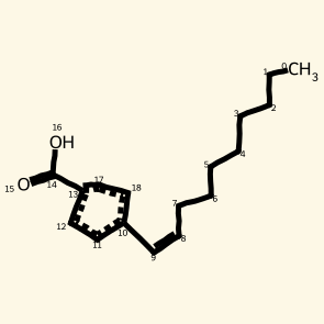 CCCCCCCC/C=C\c1ccc(C(=O)O)cc1